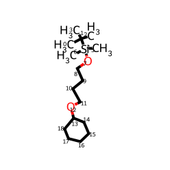 CC(C)(C)[Si](C)(C)OCCCCOC1CCCCC1